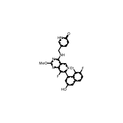 CCc1c(F)ccc2cc(O)cc(-c3ncc4c(NCc5ccc(=O)[nH]c5)nc(OC)nc4c3F)c12